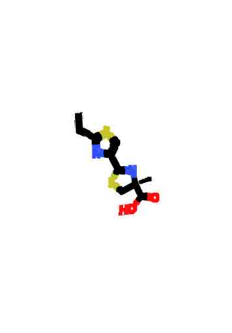 CCc1nc(C2=N[C@@](C)(C(=O)O)CS2)cs1